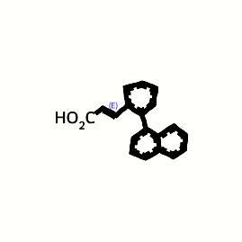 O=C(O)/C=C/c1ccccc1-c1cccc2ccccc12